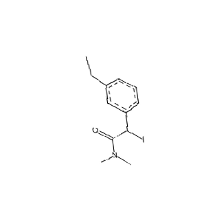 CCc1cccc(C(I)C(=O)N(C)C)c1